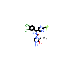 C[C@@H]1C(=O)NCCN1C(=O)N[C@@H](c1cnc(C(F)(F)F)nc1)c1ccc(Cl)c(Cl)c1